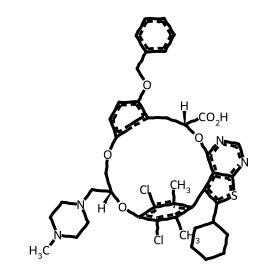 Cc1c(Cl)c2c(Cl)c(C)c1-c1c(C3CCCCC3)sc3ncnc(c13)O[C@@H](C(=O)O)Cc1cc(ccc1OCc1ccccc1)OC[C@@H](CN1CCN(C)CC1)O2